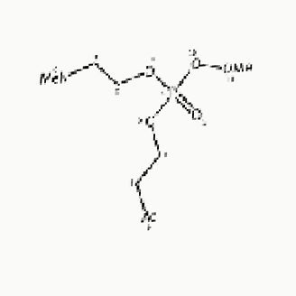 CNCCOP(=O)(OCCC(C)=O)OOC